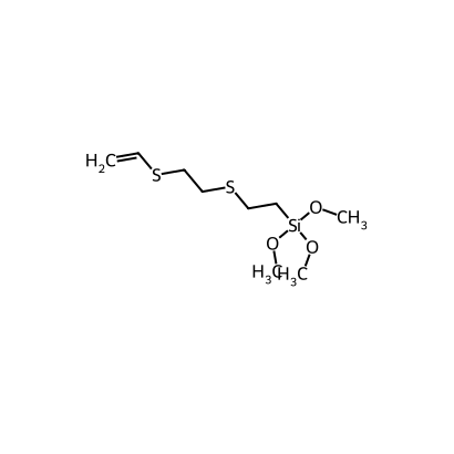 C=CSCCSCC[Si](OC)(OC)OC